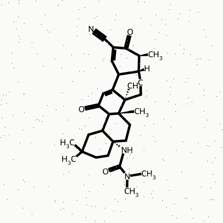 C[C@@H]1C(=O)C(C#N)=CC2C3=CC(=O)C4C5CC(C)(C)CC[C@]5(NC(=O)N(C)C)CC[C@@]4(C)[C@]3(C)CC[C@H]21